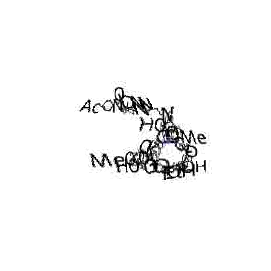 CC[C@H]1OC(=O)[C@H](C)[C@@H](O[C@H]2C[C@@](C)(OC)[C@@H](O)[C@H](C)O2)[C@H](C)/C(O[C@@H]2O[C@H](C)C[C@H](N(C)CCc3cn(C[C@H]4CN(c5ccc(C(C)=O)cc5)C(=O)O4)nn3)[C@H]2O)=C(/OC)C[C@@H](C)C(=O)[C@H](C)[C@@H](O)[C@]1(C)O